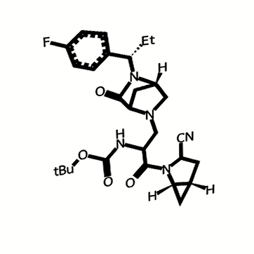 CC[C@@H](c1ccc(F)cc1)N1C(=O)C2C[C@H]1CN2CC(NC(=O)OC(C)(C)C)C(=O)N1C(C#N)C[C@@H]2C[C@@H]21